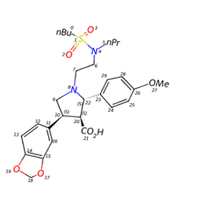 CCCCS(=O)(=O)N(CCC)CCN1C[C@H](c2ccc3c(c2)OCO3)[C@H](C(=O)O)[C@H]1c1ccc(OC)cc1